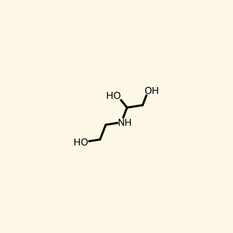 OCCNC(O)CO